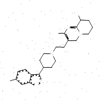 CC1=C(CCN2CCC(c3noc4cc(F)ccc34)CC2)CN2CCCC(O)C2=N1